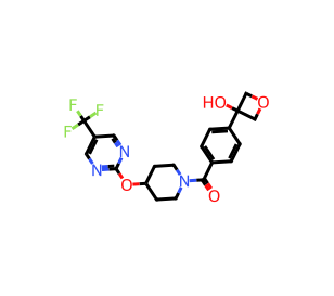 O=C(c1ccc(C2(O)COC2)cc1)N1CCC(Oc2ncc(C(F)(F)F)cn2)CC1